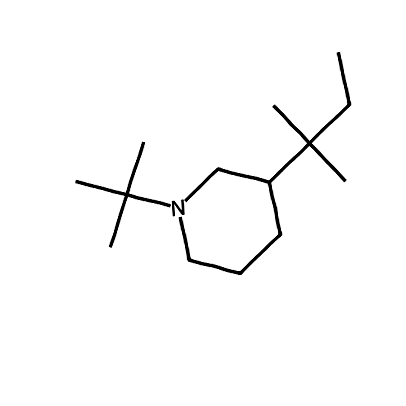 CCC(C)(C)C1CCCN(C(C)(C)C)C1